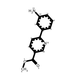 COC(=O)c1ccc(-c2cccc(N)c2)nc1